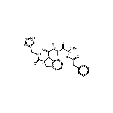 CC[C@H](C)[C@H](NC(=O)Cc1ccccc1)C(=O)N[C@H](C)C(=O)N1c2ccccc2C[C@H]1C(=O)NCc1nn[nH]n1